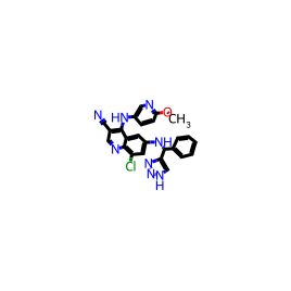 COc1ccc(Nc2c(C#N)cnc3c(Cl)cc(NC(c4ccccc4)c4c[nH]nn4)cc23)cn1